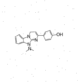 CN(C)N1C2=NC(c3ccc(O)cc3)=CCN2c2ccccc21